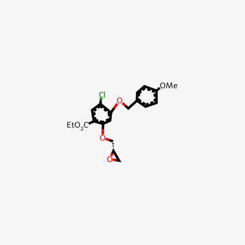 CCOC(=O)c1cc(Cl)c(OCc2ccc(OC)cc2)cc1OC[C@@H]1CO1